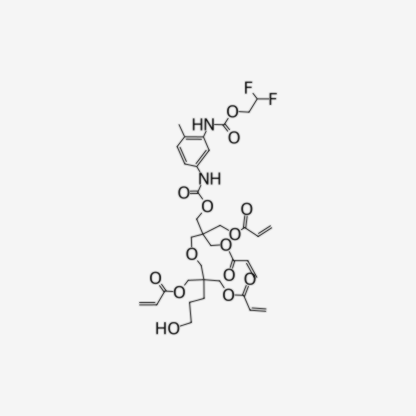 C=CC(=O)OCC(CCCO)(COCC(COC(=O)C=C)(COC(=O)C=C)COC(=O)Nc1ccc(C)c(NC(=O)OCC(F)F)c1)COC(=O)C=C